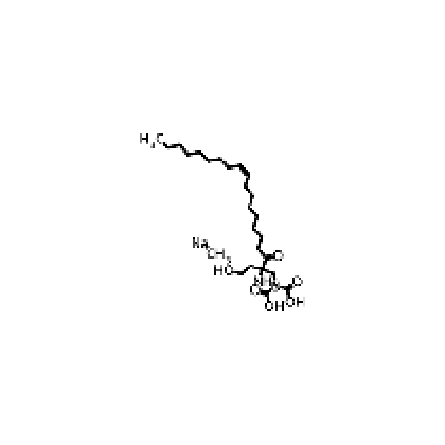 CCCCCCCC/C=C\CCCCCCCC(=O)C(N)(CCO)CN(C(=O)O)C(=O)O.[CH3][Na]